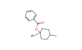 CC1CCC(OC(=O)c2ccccc2)(C(C)C)CC1